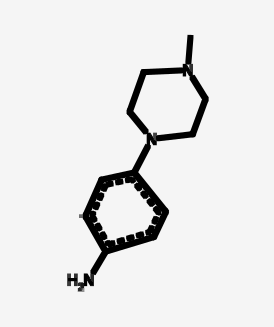 CN1CCN(c2c[c]c(N)cc2)CC1